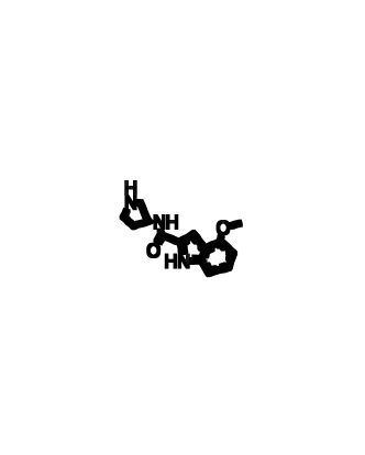 COc1cccc2[nH]c(C(=O)N[C@@H]3CCNC3)cc12